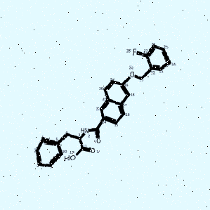 O=C(NC(Cc1ccccc1)C(=O)O)c1ccc2cc(OCc3ccccc3F)ccc2c1